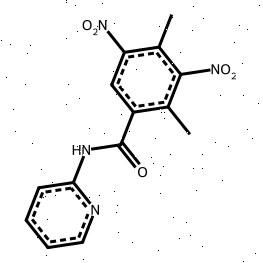 Cc1c(C(=O)Nc2ccccn2)cc([N+](=O)[O-])c(C)c1[N+](=O)[O-]